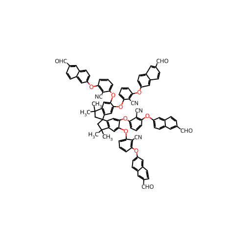 CC1(C)CC2(CC(C)(C)c3cc(Oc4cccc(Oc5ccc6cc(C=O)ccc6c5)c4C#N)c(Oc4cccc(Oc5ccc6cc(C=O)ccc6c5)c4C#N)cc32)c2cc(Oc3cccc(Oc4ccc5cc(C=O)ccc5c4)c3C#N)c(Oc3cccc(Oc4ccc5cc(C=O)ccc5c4)c3C#N)cc21